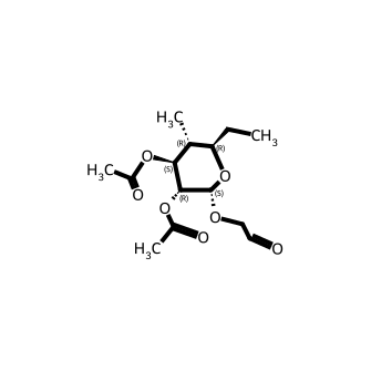 CC[C@H]1O[C@H](OCC=O)[C@H](OC(C)=O)[C@@H](OC(C)=O)[C@@H]1C